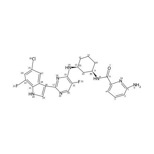 Nc1cccc(C(=O)N[C@@H]2CCC[C@H](Nc3nc(-c4c[nH]c5c(F)cc(Cl)cc45)ncc3F)C2)n1